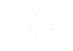 COc1cc(F)cc(Nc2ncc(Br)c(S(C)(=O)=O)n2)c1